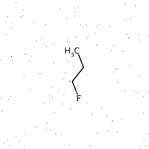 CC[CH]F